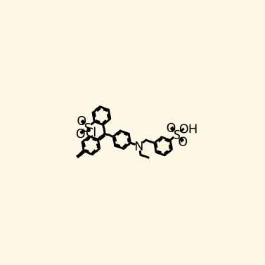 C=c1ccc(=C(c2ccc(N(CC)Cc3cccc(S(=O)(=O)O)c3)cc2)c2ccccc2S(=O)(=O)Cl)cc1